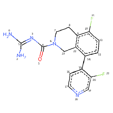 NC(N)=NC(=O)N1CCc2c(F)ccc(-c3ccncc3F)c2C1